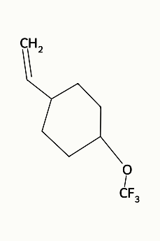 C=CC1CCC(OC(F)(F)F)CC1